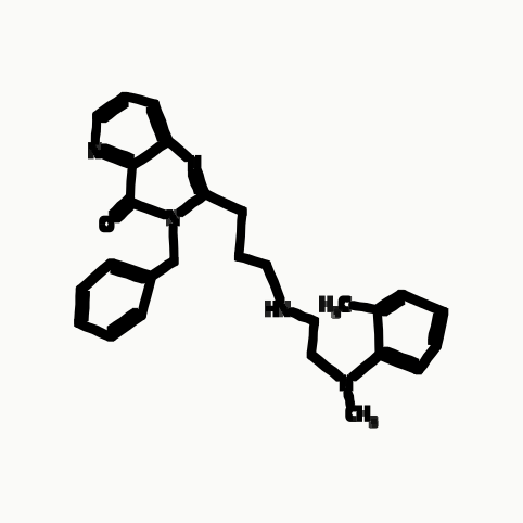 Cc1ccccc1N(C)CCNCCCc1nc2cccnc2c(=O)n1Cc1ccccc1